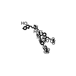 CN(C)S(=O)(=O)N1CCN(c2ccc(OCc3nn(C)c(CNCc4cc(CCc5cc(O)c6ccccc6c5)n(C)n4)c3-c3c(Cl)ccc4c(CCCOS(C)(=O)=O)c(C(=O)O)n(C)c34)cc2)CC1